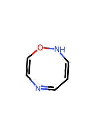 c1cncco[nH]c1